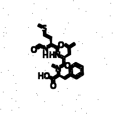 CSCC[C@H](NC=O)C(=O)N[C@@H](CC(C)C)C(=O)N(C)[C@@H](Cc1ccccc1)C(=O)O